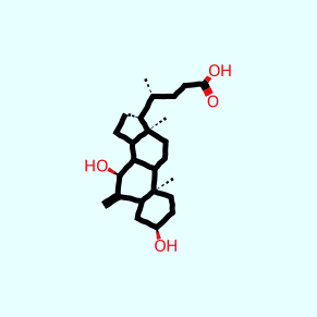 C=C1C2C[C@H](O)CC[C@]2(C)C2CC[C@@]3(C)C(CC[C@@H]3[C@H](C)CCC(=O)O)C2[C@@H]1O